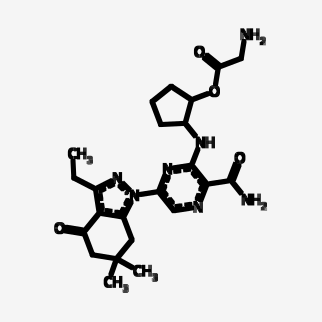 CCc1nn(-c2cnc(C(N)=O)c(NC3CCCC3OC(=O)CN)n2)c2c1C(=O)CC(C)(C)C2